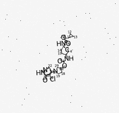 O=C(NC1CCC(NS(=O)(=O)C2CC2)CC1)O[C@@H]1CCN(c2cn[nH]c(=O)c2Cl)C1